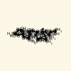 B[C@@H]1O[C@H](C)C(OP(=O)(O)OC[C@H]2O[C@@H](B)[C@@H](O)C2OP(=O)(O)OC[C@H]2O[C@@H](B)[C@@H](O)C2OP(=O)(O)OC[C@H]2O[C@@H](B)[C@@H](O)C2OP(=O)(O)OC[C@H]2O[C@@H](B)[C@@H](O)C2OP(=O)(O)OC[C@H]2O[C@@H](B)[C@@H](O)C2OP(=O)(O)OC[C@H]2O[C@@H](B)[C@@H](O)C2OP(=O)(O)OC[C@H]2O[C@@H](B)[C@@H](O)C2OP(=O)(O)OC[C@H]2OC[C@@H](OC#C)C2OP(=O)(O)OC[C@H]2O[C@@H](B)[C@@H](O)C2OP(=O)(O)OC[C@H]2O[C@@H](B)C[C@H]2O)[C@@H]1O